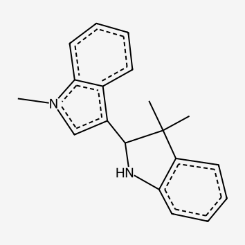 Cn1cc(C2Nc3ccccc3C2(C)C)c2ccccc21